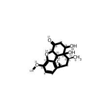 C[C@H]1CC2C[C@]34c5c2ccc(OI)c5OC3C(=O)CC(O)C14O